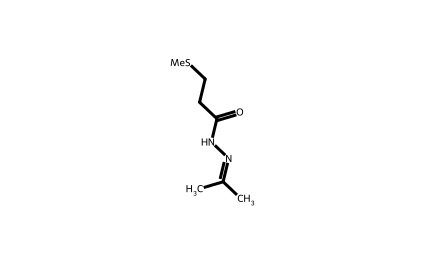 CSCCC(=O)NN=C(C)C